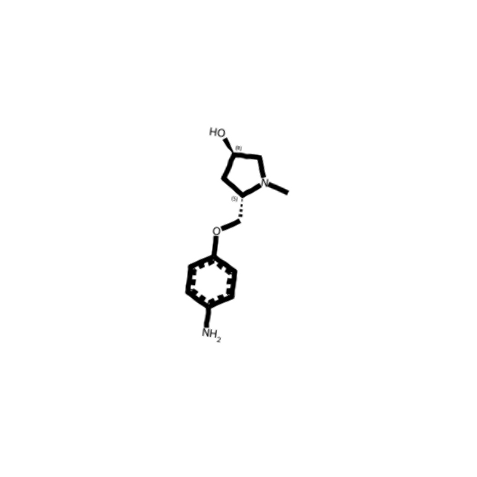 CN1C[C@H](O)C[C@H]1COc1ccc(N)cc1